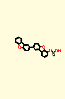 OBOc1cccc2c1oc1ccc(-c3ccc4oc5ccccc5c4c3)cc12